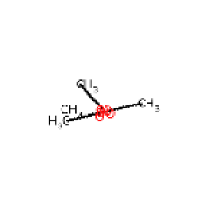 C.CCCCCCCCCCCCCCCCCC(=O)OCC(COC(=O)CCCCCCCCCCCCCCCCC)OC(=O)CCCCCCCCCCCCCCCCC